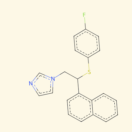 Fc1ccc(SC(Cn2ccnc2)c2cccc3ccccc23)cc1